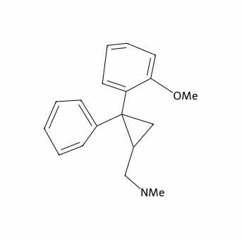 CNCC1CC1(c1ccccc1)c1ccccc1OC